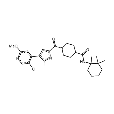 COc1cc(-c2cc(C(=O)N3CCC(C(=O)NC4(C)CCCCC4(C)C)CC3)n[nH]2)c(Cl)cn1